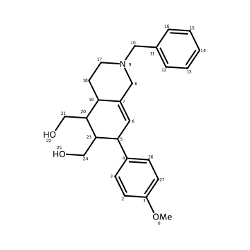 COc1ccc(C2C=C3CN(Cc4ccccc4)CCC3C(CO)C2CO)cc1